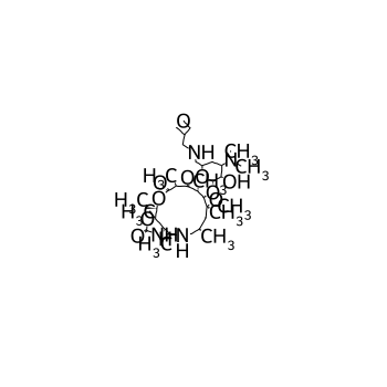 CC[C@H]1OC(=O)C(C)C(=O)[C@H](C)[C@@H](O[C@@H]2OC(CNCC3COC3)CC(N(C)C)C2O)[C@](C)(OC)C[C@@H](C)CN[C@H](C)[C@H]2NC(=O)O[C@@]21C